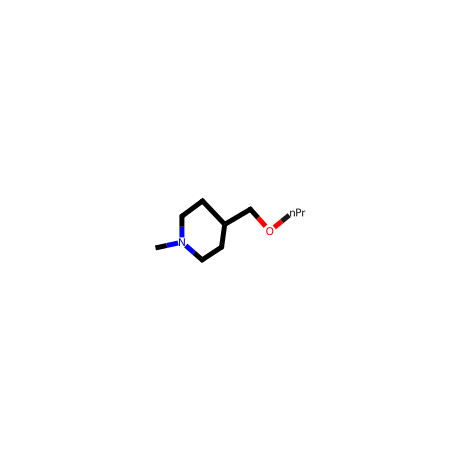 CCCOCC1CCN(C)CC1